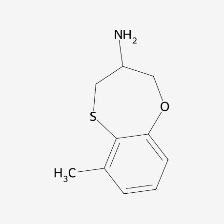 Cc1cccc2c1SCC(N)CO2